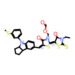 CCN1C(=O)/C(=c2/s/c(=C/c3ccc4c(c3)C3CCCC3N4c3cccc(SC)c3)c(=O)n2COC=O)SC1=S